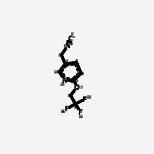 [C-]#[N+]Cc1ccc(OCC(F)(F)F)nc1